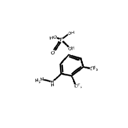 NNc1cccc(C(F)(F)F)c1C(F)(F)F.O=P(O)(O)O